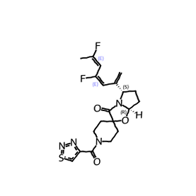 C=C(/C=C(F)\C=C(/C)F)[C@@H]1CC[C@H]2OC3(CCN(C(=O)c4csnn4)CC3)C(=O)N21